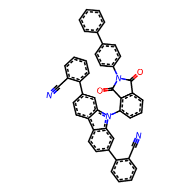 N#Cc1ccccc1-c1ccc2c3ccc(-c4ccccc4C#N)cc3n(-c3cccc4c3C(=O)N(c3ccc(-c5ccccc5)cc3)C4=O)c2c1